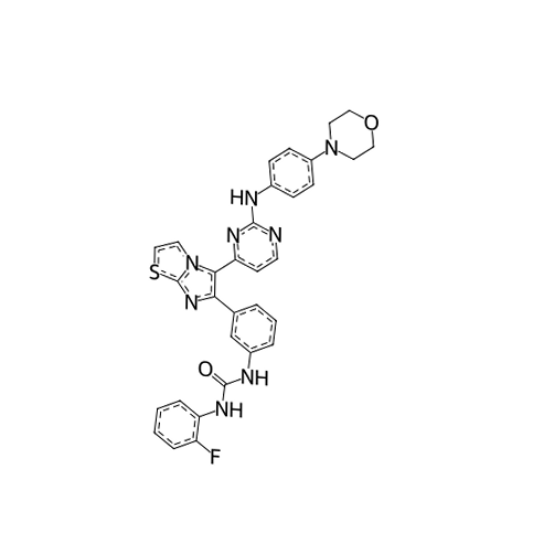 O=C(Nc1cccc(-c2nc3sccn3c2-c2ccnc(Nc3ccc(N4CCOCC4)cc3)n2)c1)Nc1ccccc1F